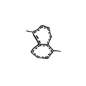 Cc1[c]ccc2c(C)cccc12